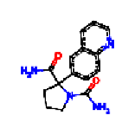 NC(=O)N1CCCC1(C(N)=O)c1ccc2ncccc2c1